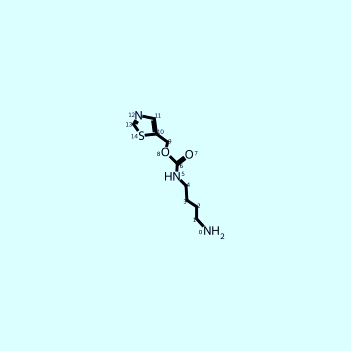 NCCCCNC(=O)OCc1cncs1